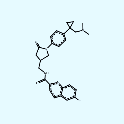 CN(C)CC1(c2ccc(N3CC(CNC(=O)c4ccc5cc(Cl)ccc5n4)CC3=O)cc2)CC1